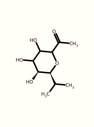 CC(=O)C1O[C@@H](C(C)C)[C@@H](O)C(O)C1O